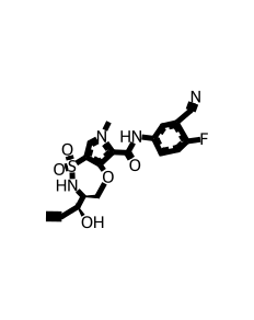 C#C[C@H](O)[C@@H]1COc2c(cn(C)c2C(=O)Nc2ccc(F)c(C#N)c2)S(=O)(=O)N1